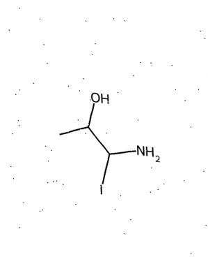 CC(O)C(N)I